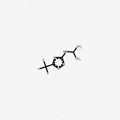 CC(C)Nc1nc(C(F)(F)F)ns1